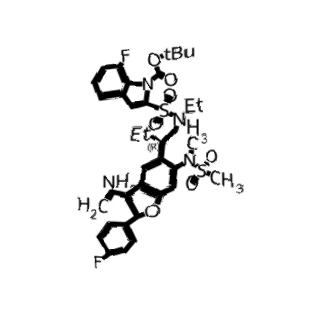 C=C(N)c1c(-c2ccc(F)cc2)oc2cc(N(C)S(C)(=O)=O)c([C@@H](CC)CN(CC)S(=O)(=O)c3cc4cccc(F)c4n3C(=O)OC(C)(C)C)cc12